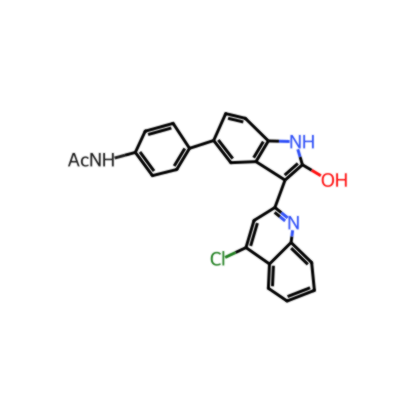 CC(=O)Nc1ccc(-c2ccc3[nH]c(O)c(-c4cc(Cl)c5ccccc5n4)c3c2)cc1